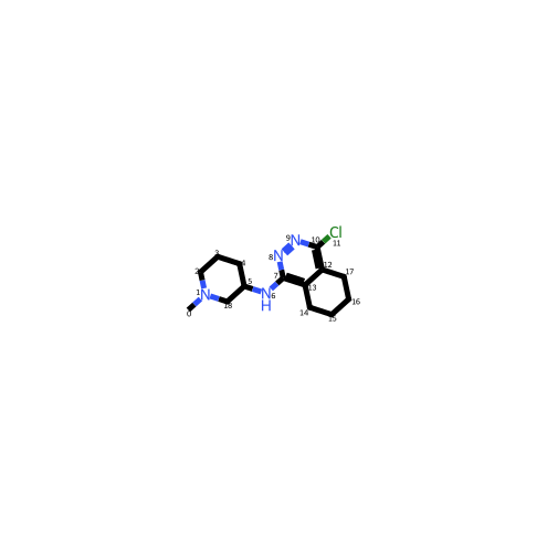 CN1CCCC(Nc2nnc(Cl)c3c2CCCC3)C1